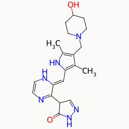 Cc1[nH]c(C=C2NC=CN=C2C2C=NNC2=O)c(C)c1CN1CCC(O)CC1